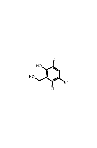 OCc1c(O)c(Cl)cc(Br)c1Cl